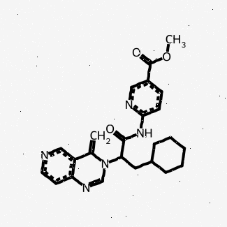 C=C1c2cnccc2N=CN1C(CC1CCCCC1)C(=O)Nc1ccc(C(=O)OC)cn1